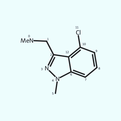 CNCc1nn(C)c2cccc(Cl)c12